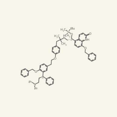 CC(C)N(CC[C@H](c1ccccc1)c1cc(CCOc2ccc(CC(C)(C)NC[C@H](O[Si](C)(C)C(C)(C)C)c3ccc(OCc4ccccc4)c4[nH]c(=O)ccc34)cc2)ccc1OCc1ccccc1)C(C)C